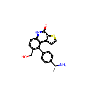 C[C@@H](N)c1ccc(-c2c(CO)ccc3[nH]c(=O)c4sccc4c23)cc1